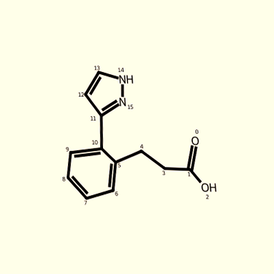 O=C(O)CCc1ccccc1-c1cc[nH]n1